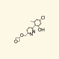 Cc1cc(Cl)cc(O)c1-c1ccc(COC2COC2)nn1